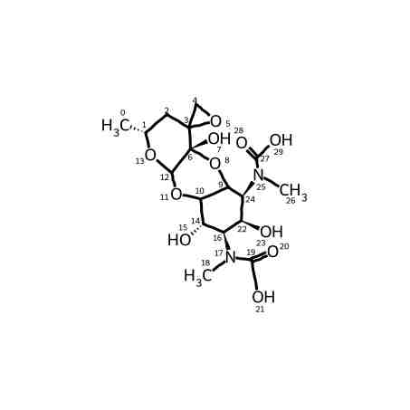 C[C@@H]1CC2(CO2)[C@]2(O)OC3C(OC2O1)[C@@H](O)[C@H](N(C)C(=O)O)[C@H](O)[C@@H]3N(C)C(=O)O